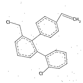 C=Cc1ccc(-c2c(CCl)cccc2-c2ccccc2Cl)cc1